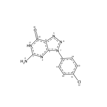 Nc1nc2c(nnn2-c2ccc(Cl)cc2)c(=O)[nH]1